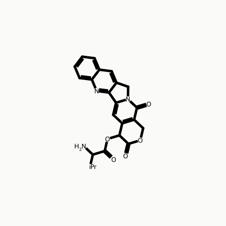 CC(C)C(N)C(=O)OC1C(=O)OCc2c1cc1n(c2=O)Cc2cc3ccccc3nc2-1